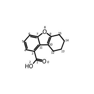 O=C(O)c1cccc2oc3c(c12)CCCC3